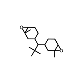 CC(C)(C)C(C1CCC2OC2(C)C1)C1CCC2OC2(C)C1